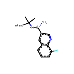 CCCCCC(C)(C)N[C@H](N)c1cnc2c(F)cccc2c1